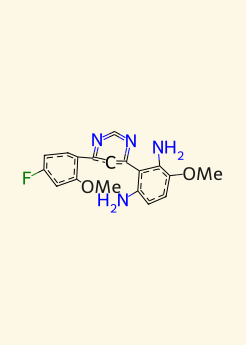 COc1cc(F)ccc1-c1cc(-c2c(N)ccc(OC)c2N)ncn1